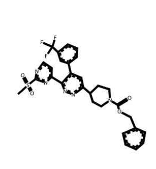 CS(=O)(=O)c1nccc(-c2nnc(C3CCN(C(=O)OCc4ccccc4)CC3)cc2-c2cccc(C(F)(F)F)c2)n1